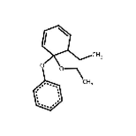 CCOC1(Oc2ccccc2)C=CC=CC1CC